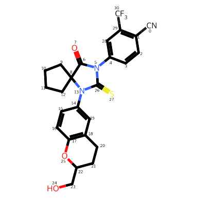 N#Cc1ccc(N2C(=O)C3(CCCC3)N(c3ccc4c(c3)CCC(CO)O4)C2=S)cc1C(F)(F)F